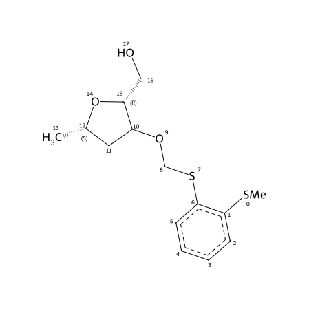 CSc1ccccc1SCOC1C[C@H](C)O[C@@H]1CO